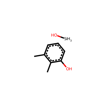 Cc1cccc(O)c1C.O[SiH3]